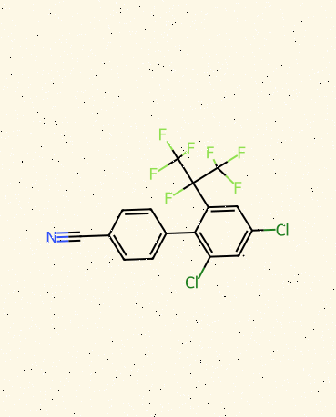 N#Cc1ccc(-c2c(Cl)[c]c(Cl)cc2C(F)(C(F)(F)F)C(F)(F)F)cc1